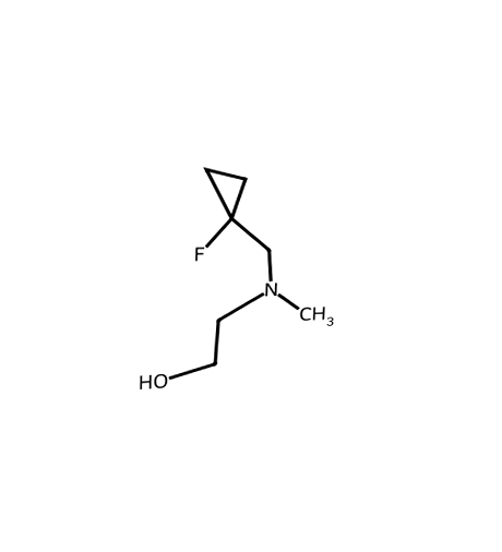 CN(CCO)CC1(F)CC1